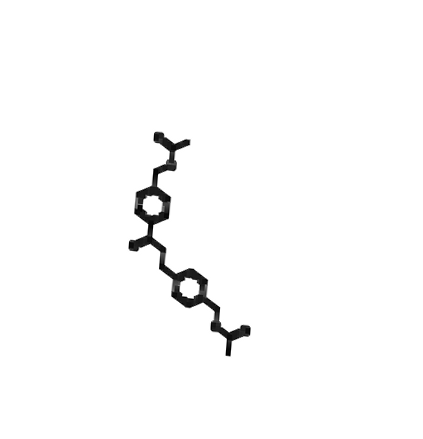 CC(=O)OCc1ccc(CCC(=O)c2ccc(COC(C)=O)cc2)cc1